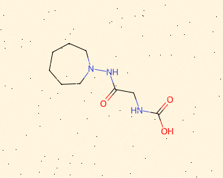 O=C(O)NCC(=O)NN1CCCCCC1